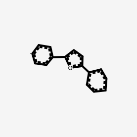 [c]1ccc(-c2ccc(-c3ccccc3)o2)cc1